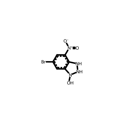 O=[N+]([O-])c1cc(Br)cc2c1NNN2O